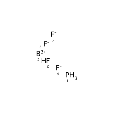 F.P.[B+3].[F-].[F-].[F-]